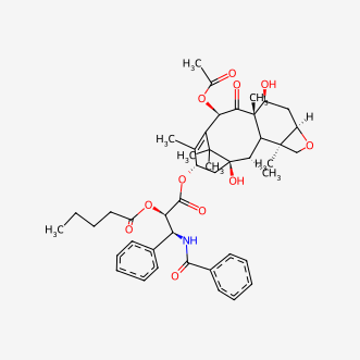 CCCCC(=O)O[C@@H](C(=O)O[C@H]1C[C@@]2(O)[C@@H](C)C3[C@]4(C)CO[C@@H]4C[C@H](O)[C@@]3(C)C(=O)[C@H](OC(C)=O)C(=C1C)C2(C)C)[C@@H](NC(=O)c1ccccc1)c1ccccc1